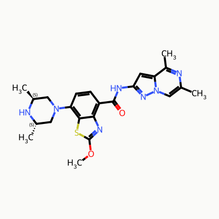 COc1nc2c(C(=O)Nc3cc4c(C)nc(C)cn4n3)ccc(N3C[C@H](C)N[C@@H](C)C3)c2s1